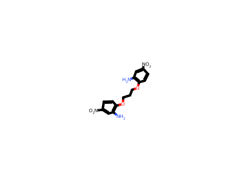 Nc1cc([N+](=O)[O-])ccc1OCCCOc1ccc([N+](=O)[O-])cc1N